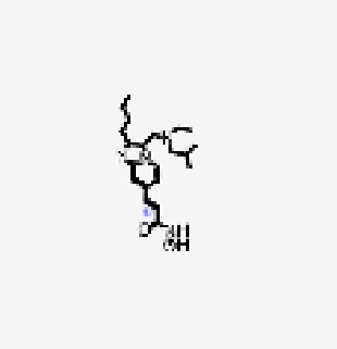 CCCCC1N=C2C=C(/C=C/C(=O)NO)C=CN2C1CN(CC)CC(C)C